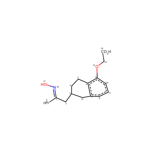 CCCC(CC1CCc2c(cccc2OCC(=O)O)C1)=NO